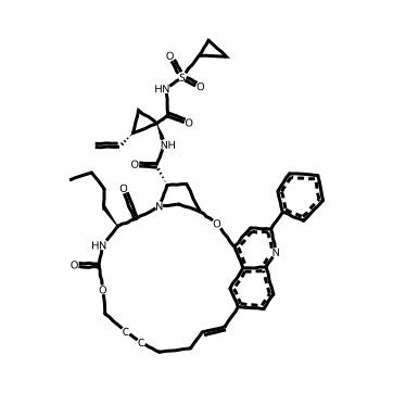 C=C[C@@H]1C[C@]1(NC(=O)[C@@H]1CC2CN1C(=O)[C@H](CCCC)NC(=O)OCCCCC/C=C/c1ccc3nc(-c4ccccc4)cc(c3c1)O2)C(=O)NS(=O)(=O)C1CC1